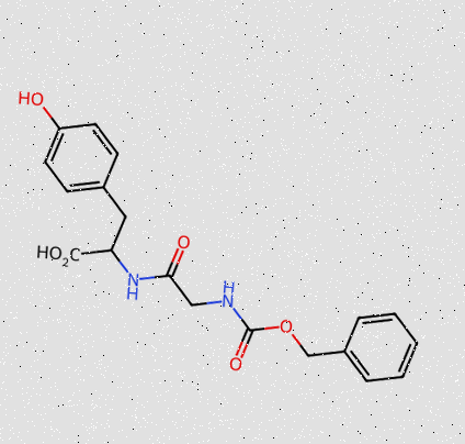 O=C(CNC(=O)OCc1ccccc1)NC(Cc1ccc(O)cc1)C(=O)O